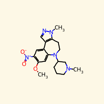 COc1cc2c(cc1[N+](=O)[O-])-c1cnn(C)c1CCN2C1CCCN(C)C1